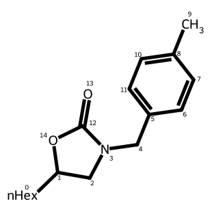 CCCCCCC1CN(Cc2ccc(C)cc2)C(=O)O1